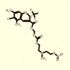 Cc1cc2c(c(C)c1Cl)C=C(C(=O)OCOC(=O)OCCN(C)CCO[N+](=O)[O-])[C@@H](C(F)(F)F)O2